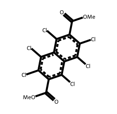 COC(=O)c1c(Cl)c(Cl)c2c(Cl)c(C(=O)OC)c(Cl)c(Cl)c2c1Cl